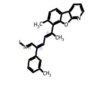 C\C(=C/C=C(\C=N\I)c1cccc(C)c1)c1c(C)ccc2c1oc1ncccc12